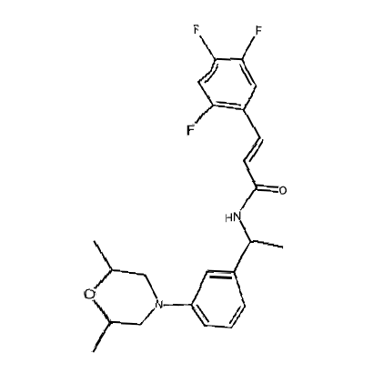 CC1CN(c2cccc(C(C)NC(=O)C=Cc3cc(F)c(F)cc3F)c2)CC(C)O1